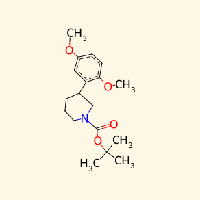 COc1ccc(OC)c(C2CCCN(C(=O)OC(C)(C)C)C2)c1